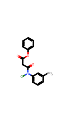 O=C(CC(=O)N(Cl)c1cccc([N+](=O)[O-])c1)Oc1ccccc1